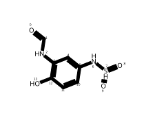 O=CNc1cc(N[SH](=O)=O)ccc1O